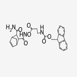 NC(=O)C1C2C=CC(C2)C1C(=O)NOC(=O)CCNC(=O)OCC1c2ccccc2-c2ccccc21